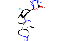 CC[C@@H]1CNCC[C@@H]1C(C)Nc1cc(-c2n[nH]c(=O)o2)cc(F)c1C